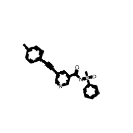 Cc1ccc(C#Cc2cncc(C(=O)N=S(C)(=O)c3ccccc3)c2)cc1